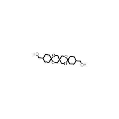 OCC1CCC2(CC1)OCC1(CO2)COC2(CCC(CO)CC2)OC1